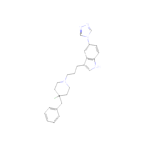 FC1(Cc2ccccc2)CCN(CCCc2c[nH]c3ccc(-n4cnnc4)cc23)CC1